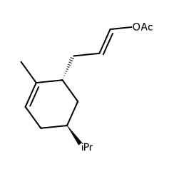 CC(=O)O/C=C/C[C@@H]1C[C@@H](C(C)C)CC=C1C